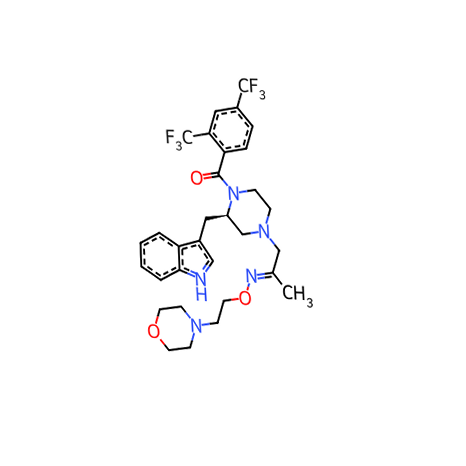 CC(CN1CCN(C(=O)c2ccc(C(F)(F)F)cc2C(F)(F)F)[C@H](Cc2c[nH]c3ccccc23)C1)=NOCCN1CCOCC1